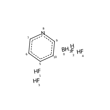 B.F.F.F.F.c1ccncc1